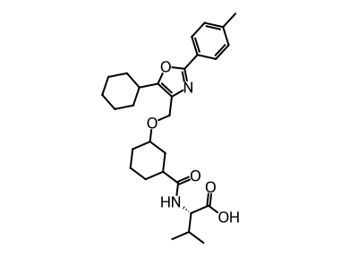 Cc1ccc(-c2nc(COC3CCCC(C(=O)N[C@H](C(=O)O)C(C)C)C3)c(C3CCCCC3)o2)cc1